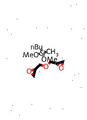 C(OCC1CO1)C1CO1.CCCC[Si](C)(OC)OC